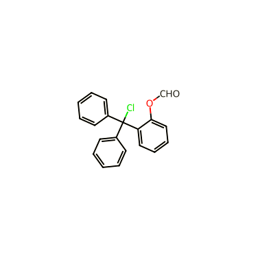 O=COc1ccccc1C(Cl)(c1ccccc1)c1ccccc1